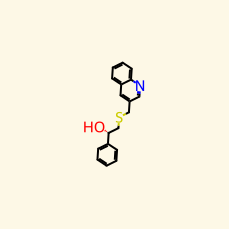 O[C@H](CSCc1cnc2ccccc2c1)c1ccccc1